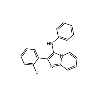 Fc1ccccc1-c1nc2ccccn2c1Nc1ccccc1